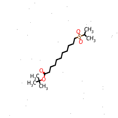 CC(C)S(=O)(=O)CCCCCCCCCCC(=O)OC(C)(C)C